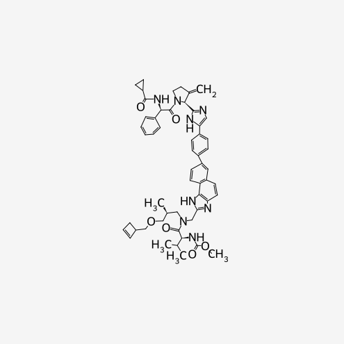 C=C1CCN(C(=O)[C@H](NC(=O)C2CC2)c2ccccc2)[C@@H]1c1ncc(-c2ccc(-c3ccc4c(ccc5nc(CN(C[C@H](C)COCC6C=CC6)C(=O)[C@@H](NC(=O)OC)C(C)C)[nH]c54)c3)cc2)[nH]1